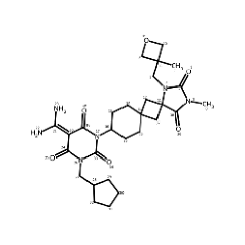 CN1C(=O)N(CC2(C)COC2)C2(CC3(CCC(N4C(=O)C(=C(N)N)C(=O)N(CC5CCCC5)C4=O)CC3)C2)C1=O